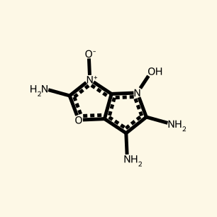 Nc1c(N)n(O)c2c1oc(N)[n+]2[O-]